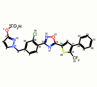 O=C(O)Oc1ccn(Cc2ccc(-c3noc(-c4cc(-c5ccccc5)c(C(F)(F)F)s4)n3)c(Cl)c2)n1